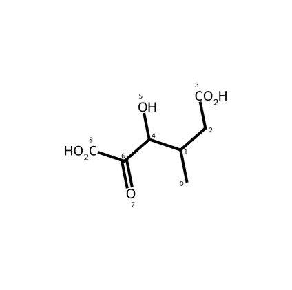 CC(CC(=O)O)C(O)C(=O)C(=O)O